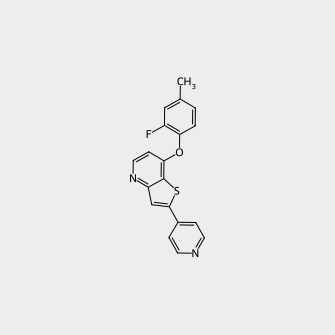 Cc1ccc(Oc2ccnc3cc(-c4ccncc4)sc23)c(F)c1